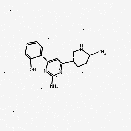 CC1CCC(c2cc(-c3ccccc3O)nc(N)n2)CN1